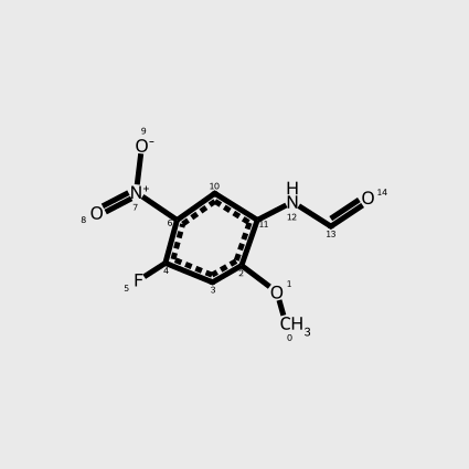 COc1cc(F)c([N+](=O)[O-])cc1NC=O